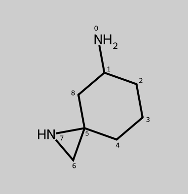 NC1CCCC2(CN2)C1